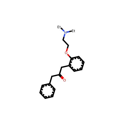 CCN(CC)CCOc1ccccc1CC(=O)Cc1ccccc1